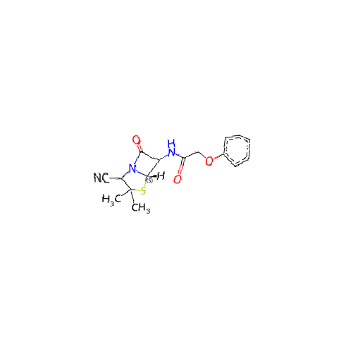 CC1(C)S[C@H]2C(NC(=O)COc3ccccc3)C(=O)N2C1C#N